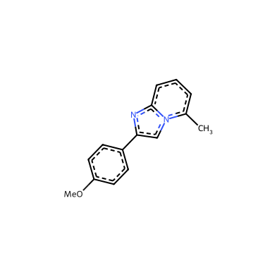 COc1ccc(-c2cn3c(C)cccc3n2)cc1